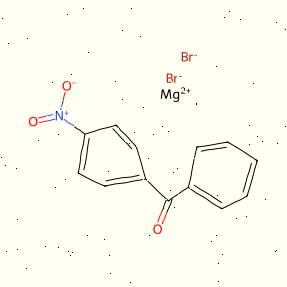 O=C(c1ccccc1)c1ccc([N+](=O)[O-])cc1.[Br-].[Br-].[Mg+2]